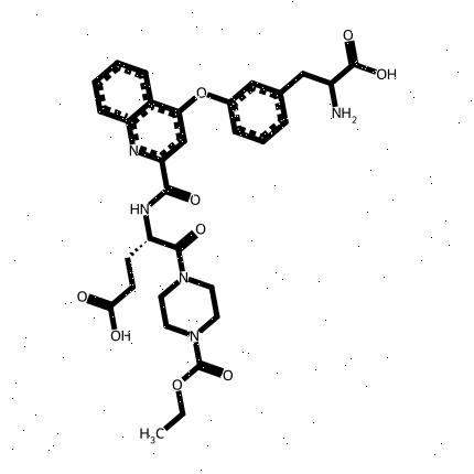 CCOC(=O)N1CCN(C(=O)[C@H](CCC(=O)O)NC(=O)c2cc(Oc3cccc(CC(N)C(=O)O)c3)c3ccccc3n2)CC1